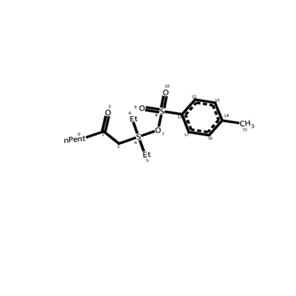 CCCCCC(=O)CS(CC)(CC)OS(=O)(=O)c1ccc(C)cc1